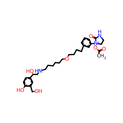 CC(=O)O[N+]1(c2cccc(CCCCOCCCCCCNC[C@@H](O)c3ccc(O)c(CO)c3)c2)CCNC1=O